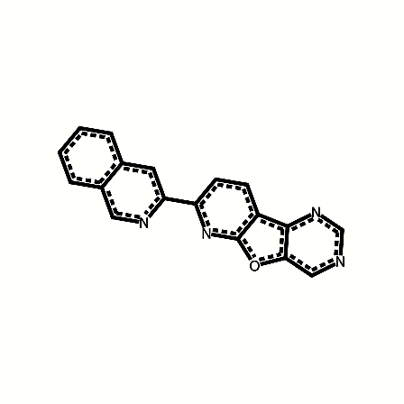 c1ccc2cc(-c3ccc4c(n3)oc3cncnc34)ncc2c1